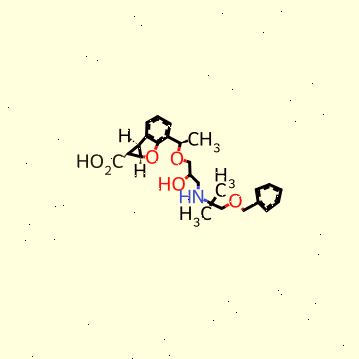 C[C@@H](OCC(O)CNC(C)(C)COCc1ccccc1)c1cccc2c1O[C@H]1[C@H](C(=O)O)[C@@H]21